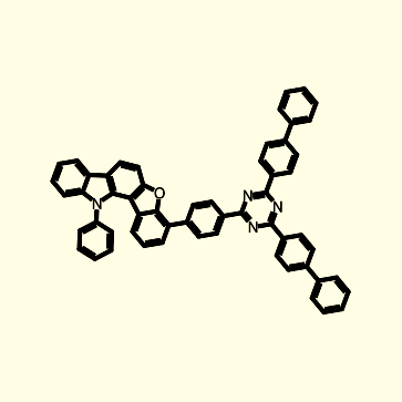 c1ccc(-c2ccc(-c3nc(-c4ccc(-c5ccccc5)cc4)nc(-c4ccc(-c5cccc6c5oc5ccc7c8ccccc8n(-c8ccccc8)c7c56)cc4)n3)cc2)cc1